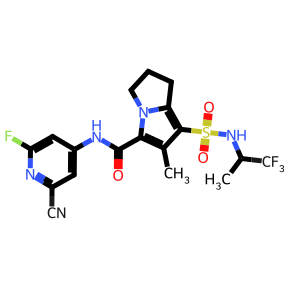 Cc1c(S(=O)(=O)NC(C)C(F)(F)F)c2n(c1C(=O)Nc1cc(F)nc(C#N)c1)CCC2